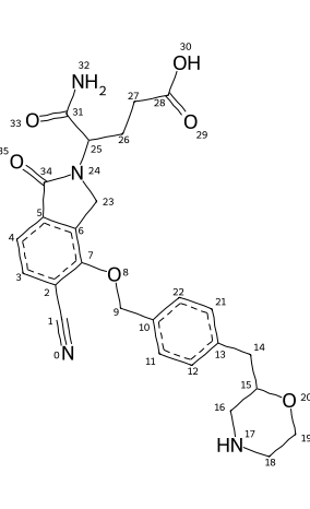 N#Cc1ccc2c(c1OCc1ccc(CC3CNCCO3)cc1)CN(C(CCC(=O)O)C(N)=O)C2=O